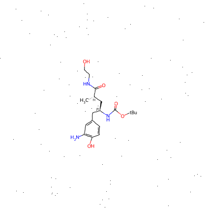 C[C@@H](C[C@H](Cc1ccc(O)c(N)c1)NC(=O)OC(C)(C)C)C(=O)NCCO